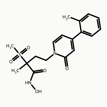 Cc1ccccc1-c1ccn(CCC(C)(C(=O)NO)S(C)(=O)=O)c(=O)c1